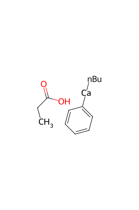 CCC(=O)O.CCC[CH2][Ca][c]1ccccc1